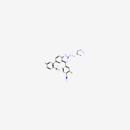 N#Cc1ccc(-c2nc(NC[C@H]3CCNC3)nc3ccc(-c4cc(F)ccc4C(F)(F)F)cc23)cc1F